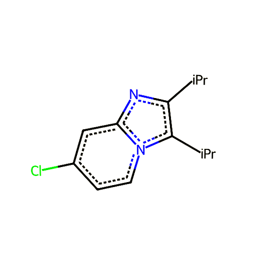 CC(C)c1nc2cc(Cl)ccn2c1C(C)C